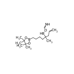 C=CCC(C)(BOC=N)CCCCB1OC(C)(C)C(C)(C)O1